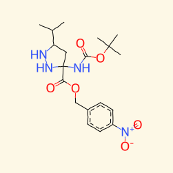 CC(C)C1CC(NC(=O)OC(C)(C)C)(C(=O)OCc2ccc([N+](=O)[O-])cc2)NN1